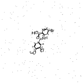 COc1ccc(CNc2cc(Br)cnc2C(=O)O)cc1Cl